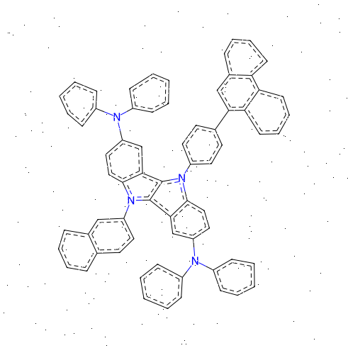 c1ccc(N(c2ccccc2)c2ccc3c(c2)c2c(c4cc(N(c5ccccc5)c5ccccc5)ccc4n2-c2ccc(-c4cc5ccccc5c5ccccc45)cc2)n3-c2ccc3ccccc3c2)cc1